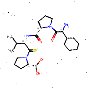 CC(C)[C@H](NC(=O)[C@@H]1CCCN1C(=O)[C@@H](N)C1CCCCC1)C(=S)N1CCC[C@H]1B(O)O